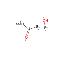 CCC(=O)OC.CCO